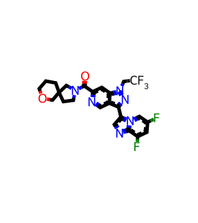 O=C(c1cc2c(cn1)c(-c1cnc3c(F)cc(F)cn13)nn2CC(F)(F)F)N1CCC2(CCCOC2)C1